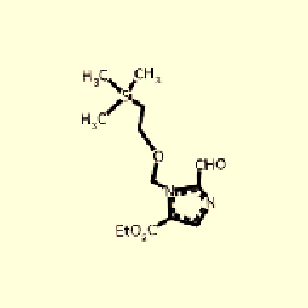 CCOC(=O)c1cnc(C=O)n1COCC[Si](C)(C)C